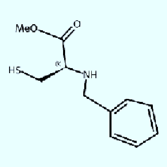 COC(=O)[C@H](CS)NCc1ccccc1